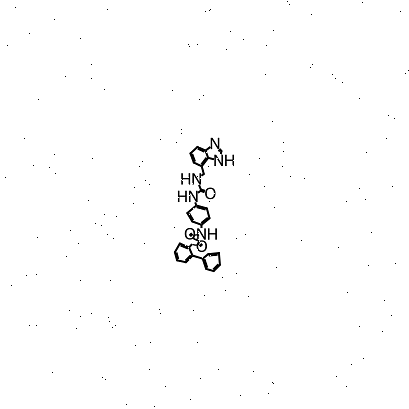 O=C(NCc1cccc2nc[nH]c12)Nc1ccc(NS(=O)(=O)c2ccccc2-c2ccccc2)cc1